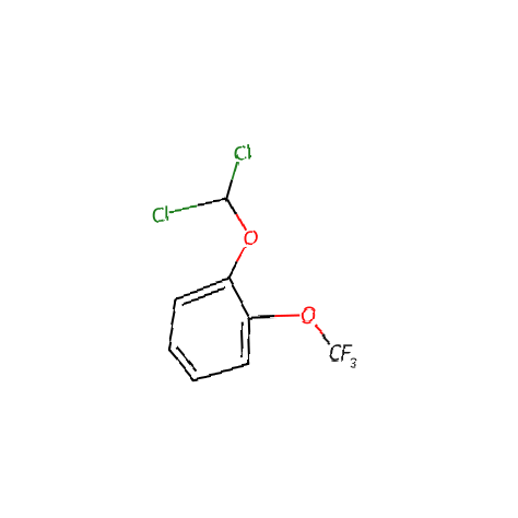 FC(F)(F)Oc1ccccc1OC(Cl)Cl